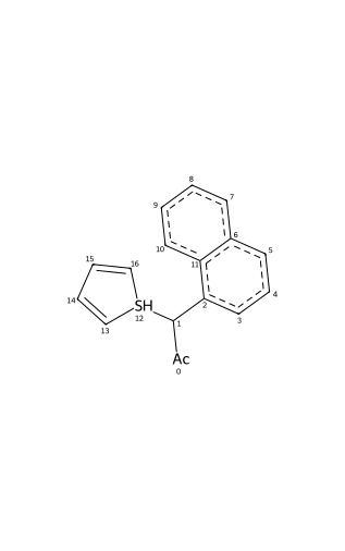 CC(=O)C(c1cccc2ccccc12)[SH]1C=CC=C1